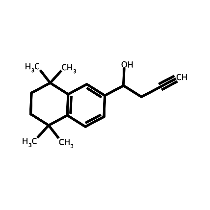 C#CCC(O)c1ccc2c(c1)C(C)(C)CCC2(C)C